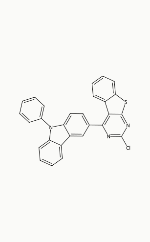 Clc1nc(-c2ccc3c(c2)c2ccccc2n3-c2ccccc2)c2c(n1)sc1ccccc12